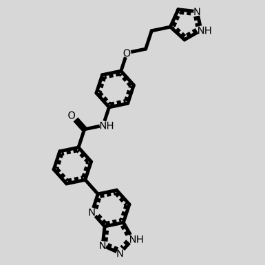 O=C(Nc1ccc(OCCc2cn[nH]c2)cc1)c1cccc(-c2ccc3[nH]nnc3n2)c1